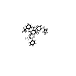 N[C@@H](Cn1c(=O)c2c(n(Cc3c(F)cccc3C(F)(F)F)c1=O)COC21CCN(Cc2cscn2)CC1)c1ccccc1